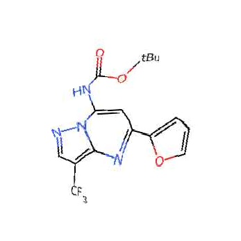 CC(C)(C)OC(=O)Nc1cc(-c2ccco2)nc2c(C(F)(F)F)cnn12